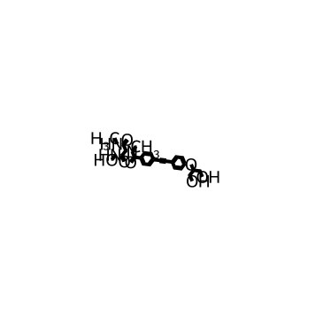 CNC(=O)C(C(=O)NO)N(C)C(=O)c1ccc(C#Cc2ccc(OC(CO)CO)cc2)cc1